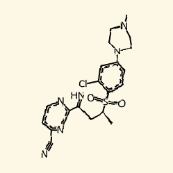 C[C@@H](CC(=N)c1nccc(C#N)n1)S(=O)(=O)c1ccc(N2CCN(C)CC2)cc1Cl